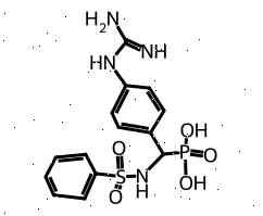 N=C(N)Nc1ccc(C(NS(=O)(=O)c2ccccc2)P(=O)(O)O)cc1